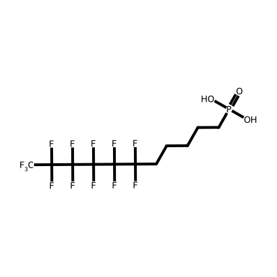 O=P(O)(O)CCCCCC(F)(F)C(F)(F)C(F)(F)C(F)(F)C(F)(F)C(F)(F)F